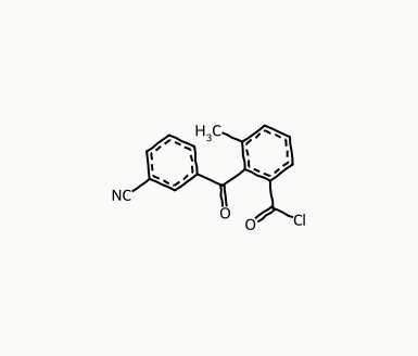 Cc1cccc(C(=O)Cl)c1C(=O)c1cccc(C#N)c1